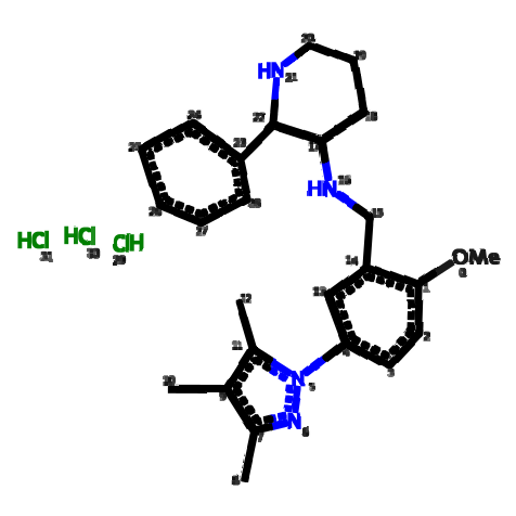 COc1ccc(-n2nc(C)c(C)c2C)cc1CNC1CCCNC1c1ccccc1.Cl.Cl.Cl